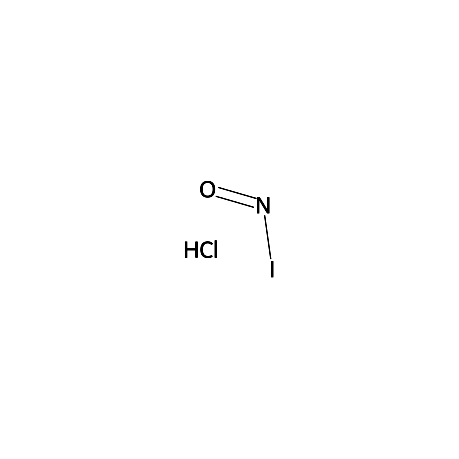 Cl.O=NI